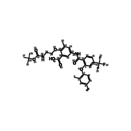 Cc1cc(F)ccc1Oc1cc(C(F)(F)F)ccc1C(=O)Nc1cc(C)c(OCCNC(=O)OC(C)(C)C)c(C(=O)O)c1